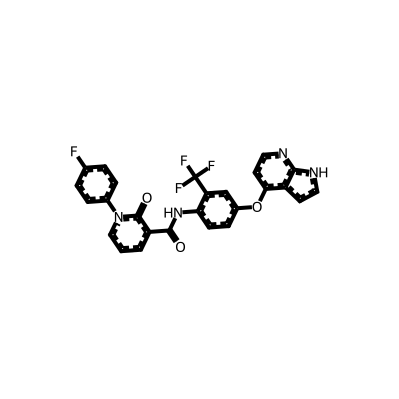 O=C(Nc1ccc(Oc2ccnc3[nH]ccc23)cc1C(F)(F)F)c1cccn(-c2ccc(F)cc2)c1=O